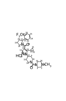 CN1CCN(C(=O)N2CCC(n3ncc(C(=O)N4CCCC4c4ccccc4C(F)(F)F)c3C3CC3)CC2)CC1.Cl